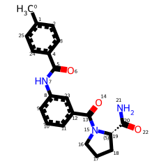 Cc1ccc(C(=O)Nc2c[c]cc(C(=O)N3CCC[C@H]3C(N)=O)c2)cc1